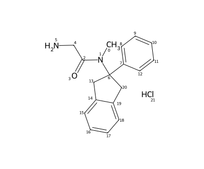 CN(C(=O)CN)C1(c2ccccc2)Cc2ccccc2C1.Cl